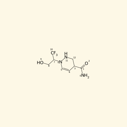 NC(=O)C1C=CN(C(CO)C(F)(F)F)NC1